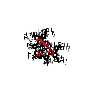 CC(C)(C)c1cc2c3c(c1)N(c1c(-c4ccccc4)cc(C(F)(F)F)cc1-c1ccccc1)c1cc(-n4c5ccc(C(C)(C)C)cc5c5cc(C(C)(C)C)ccc54)cc(-c4ccccc4)c1B3c1c(-c3ccccc3)cc(-n3c4ccc(C(C)(C)C)cc4c4cc(C(C)(C)C)ccc43)cc1N2c1c(-c2ccccc2)cc(C(F)(F)F)cc1-c1ccccc1